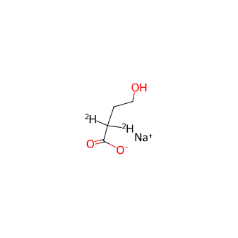 [2H]C([2H])(CCO)C(=O)[O-].[Na+]